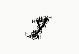 CNC(=O)CCCCC(=O)N(CCC(=O)NCCO[C@@H]1O[C@@H](C)[C@@H](O)[C@@H](O)[C@@H]1O)CCC(=O)NCCO[C@@H]1OC[C@@H](O)[C@@H](O)[C@@H]1O